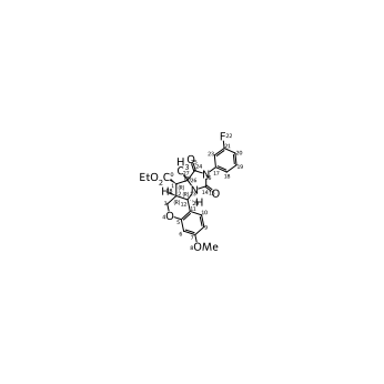 CCOC(=O)[C@@H]1[C@H]2COc3cc(OC)ccc3[C@@H]2N2C(=O)N(c3cccc(F)c3)C(=O)[C@@]12C